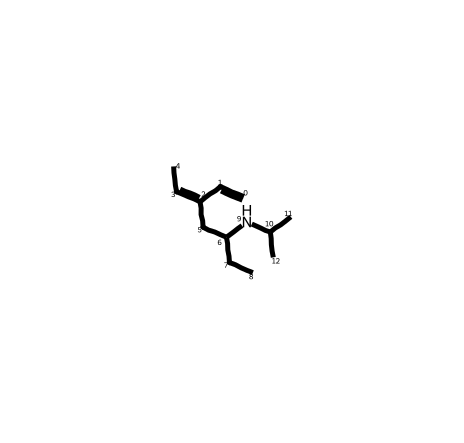 C=C/C(=C\C)CC(CC)NC(C)C